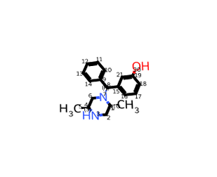 C[C@@H]1CN[C@@H](C)CN1[C@H](c1ccccc1)c1cccc(O)c1